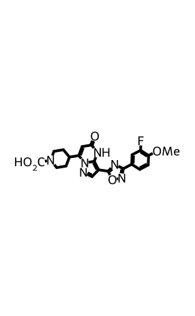 COc1ccc(-c2noc(-c3cnn4c(C5CCN(C(=O)O)CC5)cc(=O)[nH]c34)n2)cc1F